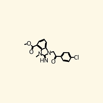 COC(=O)c1cccc2c1n(C)c(=N)n2CC(=O)c1ccc(Cl)cc1